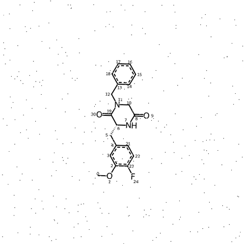 COc1cc(C[C@H]2NC(=O)CN(Cc3ccccc3)C2=O)ccc1F